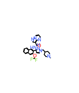 CN1CCC(CN2C=CC(NC(=O)c3cnn4cccnc34)(c3cc4ccccc4cc3OC(F)F)N2)CC1